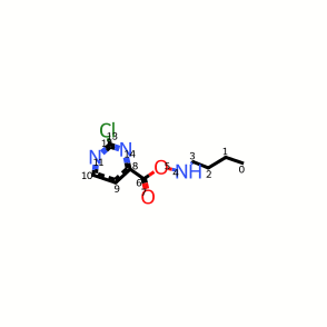 CCCCNOC(=O)c1ccnc(Cl)n1